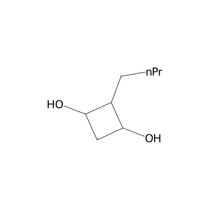 CCCCC1C(O)CC1O